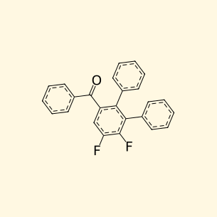 O=C(c1ccccc1)c1cc(F)c(F)c(-c2ccccc2)c1-c1ccccc1